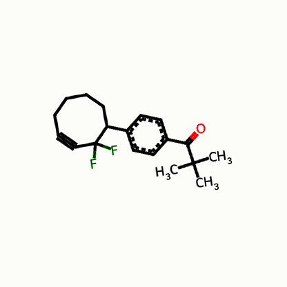 CC(C)(C)C(=O)c1ccc(C2CCCCC#CC2(F)F)cc1